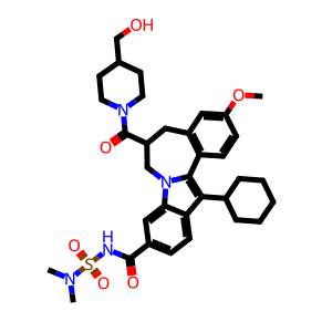 COc1ccc2c(c1)CC(C(=O)N1CCC(CO)CC1)Cn1c-2c(C2CCCCC2)c2ccc(C(=O)NS(=O)(=O)N(C)C)cc21